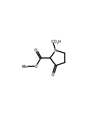 CC(C)(C)OC(=O)C1C(=O)CCN1C(=O)O